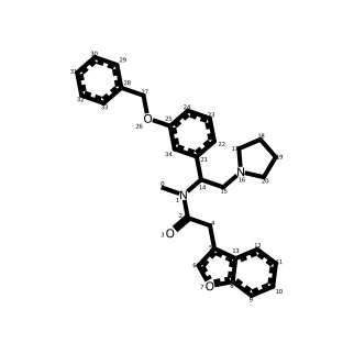 CN(C(=O)Cc1coc2ccccc12)C(CN1CCCC1)c1cccc(OCc2ccccc2)c1